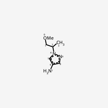 COCC(C)n1cc(N)cn1